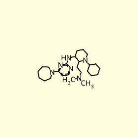 CN(C)CCC1C(Nc2nccc(N3CCCCCC3)n2)CCCN1C1CCCCC1